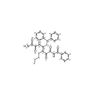 CCCCN(C(=O)C(=O)NC(=O)c1ccccc1)N(CC(c1ccccc1)c1ccccc1)NC(=O)C(N)=O